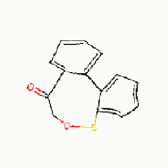 O=C1COSc2ccccc2-c2ccccc21